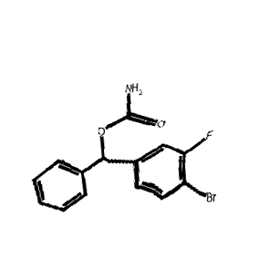 NC(=O)OC(c1ccccc1)c1ccc(Br)c(F)c1